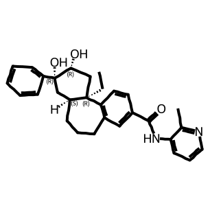 CC[C@@]12C[C@@H](O)[C@](O)(c3ccccc3)C[C@@H]1CCCc1cc(C(=O)Nc3cccnc3C)ccc12